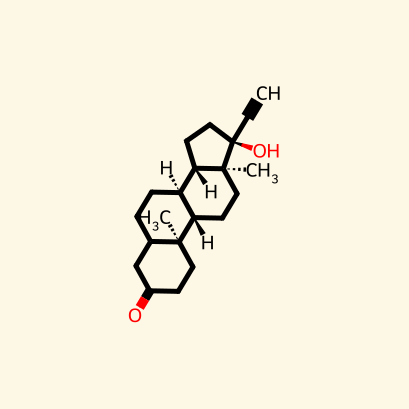 C#C[C@@]1(O)CC[C@H]2[C@@H]3CCC4CC(=O)CC[C@]4(C)[C@H]3CC[C@@]21C